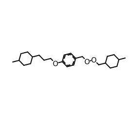 CC1CCC(CCCOc2ccc(COOCC3CCC(C)CC3)cc2)CC1